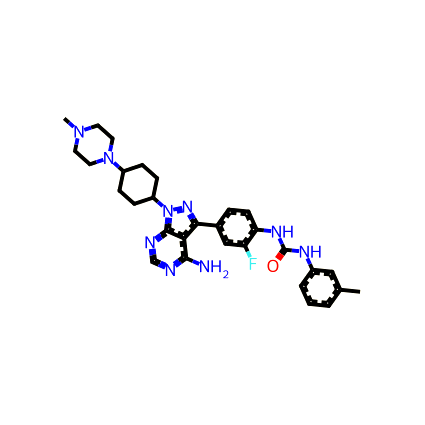 Cc1cccc(NC(=O)Nc2ccc(-c3nn(C4CCC(N5CCN(C)CC5)CC4)c4ncnc(N)c34)cc2F)c1